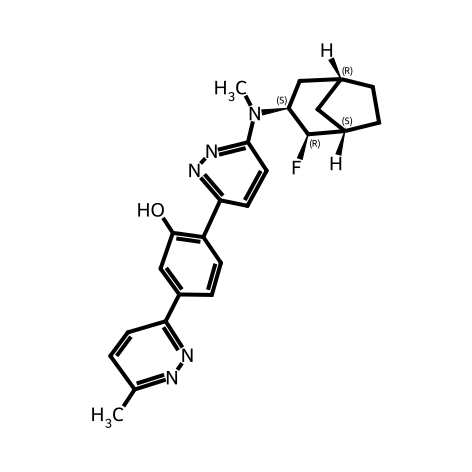 Cc1ccc(-c2ccc(-c3ccc(N(C)[C@H]4C[C@@H]5CC[C@@H](C5)[C@H]4F)nn3)c(O)c2)nn1